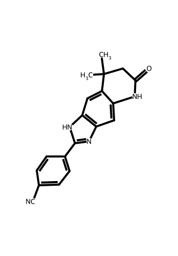 CC1(C)CC(=O)Nc2cc3nc(-c4ccc(C#N)cc4)[nH]c3cc21